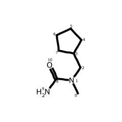 CN(CC1CCCC1)C(N)=O